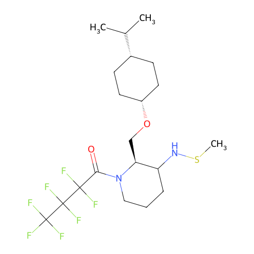 CSNC1CCCN(C(=O)C(F)(F)C(F)(F)C(F)(F)F)[C@H]1CO[C@H]1CC[C@@H](C(C)C)CC1